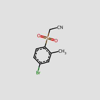 Cc1cc(Br)ccc1S(=O)(=O)CC#N